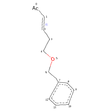 CC(=O)/C=C/CCOCc1ccccc1